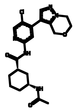 CC(=O)N[C@@H]1CCC[C@H](C(=O)Nc2cc(-c3cnn4c3COCC4)c(Cl)cn2)C1